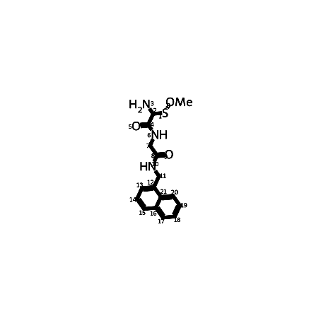 COSC(N)C(=O)NCC(=O)NCc1cccc2ccccc12